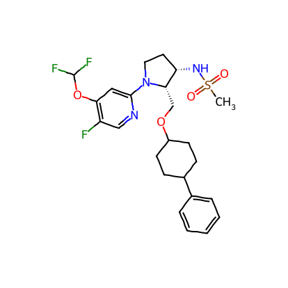 CS(=O)(=O)N[C@H]1CCN(c2cc(OC(F)F)c(F)cn2)[C@H]1COC1CCC(c2ccccc2)CC1